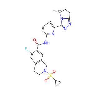 C[C@@H]1CCc2nnc(-c3cccc(NC(=O)c4cc5c(cc4F)CCN(S(=O)(=O)C4CC4)C5)n3)n21